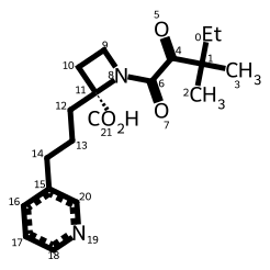 CCC(C)(C)C(=O)C(=O)N1CC[C@@]1(CCCc1cccnc1)C(=O)O